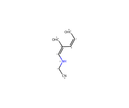 N#CCN/C=C(C=O)\C=C/C=O